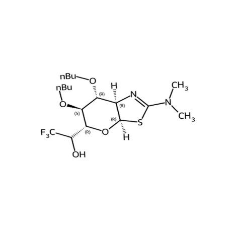 CCCCO[C@@H]1[C@H]2N=C(N(C)C)S[C@H]2O[C@H](C(O)C(F)(F)F)[C@H]1OCCCC